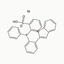 O=S(=O)(O)c1ccccc1P(c1ccccc1)c1ccccc1-c1cc2ccccc2o1.[Ni]